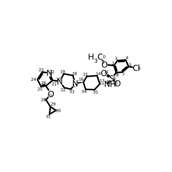 COc1ccc(Cl)cc1S(=O)(=O)N[C@H]1CC[C@H](N2CCN(c3ncccc3OCC3CC3)CC2)CC1